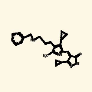 Cc1[nH]c(C=C2C(=O)NN=C2C2CC2)c(C2CC2)c1CCCNCc1ccccc1